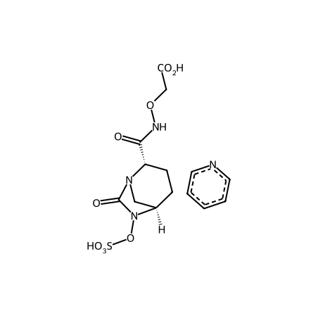 O=C(O)CONC(=O)[C@@H]1CC[C@@H]2CN1C(=O)N2OS(=O)(=O)O.c1ccncc1